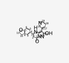 O=c1cc(-c2ccc3c(c2)CCO3)[nH]c2c(-c3cccnc3)c(O)nn12